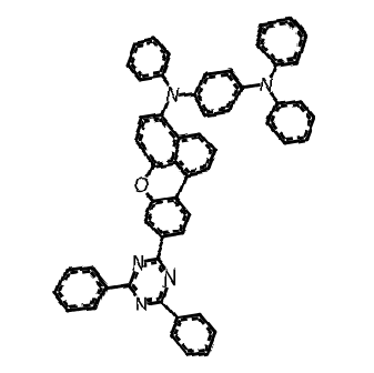 c1ccc(-c2nc(-c3ccccc3)nc(-c3ccc4c(c3)Oc3ccc(N(c5ccccc5)c5ccc(N(c6ccccc6)c6ccccc6)cc5)c5cccc-4c35)n2)cc1